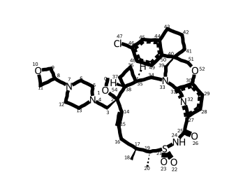 CO[C@@]1(CN2CCN(C3COC3)CC2)/C=C/C[C@H](C)[C@@H](C)S(=O)(=O)NC(=O)c2ccc3c(n2)N(C[C@@H]2CC[C@H]21)C[C@@]1(CCCc2cc(Cl)ccc21)CO3